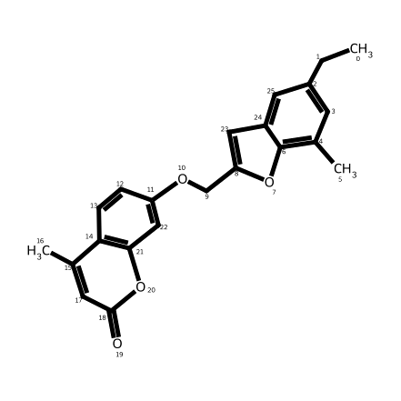 CCc1cc(C)c2oc(COc3ccc4c(C)cc(=O)oc4c3)cc2c1